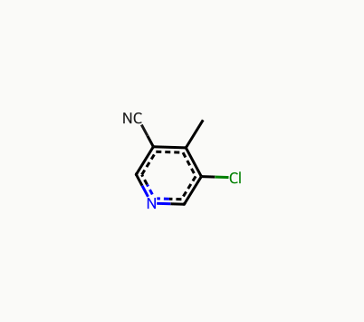 Cc1c(Cl)cncc1C#N